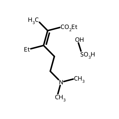 CCOC(=O)C(C)=C(CC)CCN(C)C.O=S(=O)(O)O